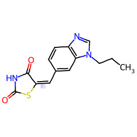 CCCn1cnc2ccc(/C=C3/SC(=O)NC3=O)cc21